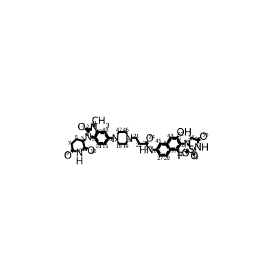 Cn1c(=O)n(C2CCC(=O)NC2=O)c2ccc(N3CCN(CCC(=O)Nc4ccc5c(F)c(N6CC(=O)NS6(=O)=O)c(O)cc5c4)CC3)cc21